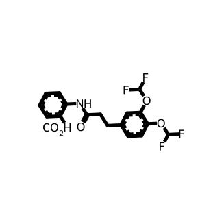 O=C(CCc1ccc(OC(F)F)c(OC(F)F)c1)Nc1ccccc1C(=O)O